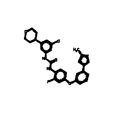 Cn1cc(-c2cc(Oc3ccc(NC(=O)Nc4cc(Cl)cc(N5CCOCC5)c4)c(F)c3)ccn2)cn1